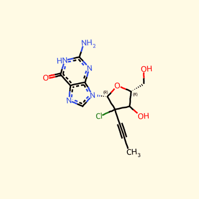 CC#CC1(Cl)C(O)[C@@H](CO)O[C@H]1n1cnc2c(=O)[nH]c(N)nc21